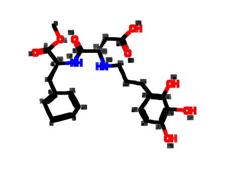 COC(=O)[C@H](Cc1ccccc1)NC(=O)[C@H](CC(=O)O)NCCCc1ccc(O)c(O)c1O